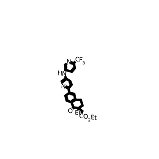 CCOC(=O)CC1(CC)CCc2cc(-c3ccc(Nc4ccc(C(F)(F)F)nc4)cn3)ccc2C1=O